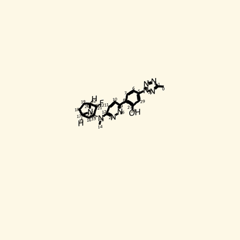 Cc1nnn(-c2ccc(-c3ccc(N(C)[C@@H]4C[C@H]5CC[C@@H]([C@H]4F)N5C)nn3)c(O)c2)n1